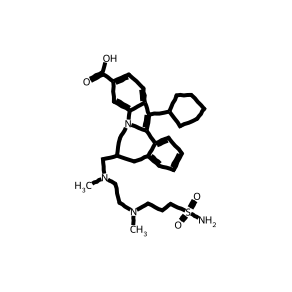 CN(CCCS(N)(=O)=O)CCN(C)CC1Cc2ccccc2-c2c(C3CCCCC3)c3ccc(C(=O)O)cc3n2C1